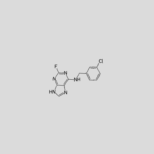 Fc1nc(NCc2cccc(Cl)c2)c2nc[nH]c2n1